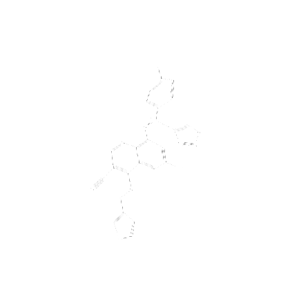 N#Cc1cnc2c(N[C@@H](c3ccc(F)cc3)c3c[nH]nn3)cc(Cl)cc2c1NCc1ccsc1